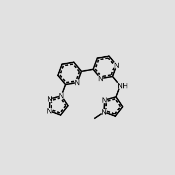 Cn1ccc(Nc2nccc(-c3cccc(-n4ccnn4)n3)n2)n1